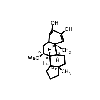 CO[C@H]1CC2C=C(O)C(O)=C[C@]2(C)[C@H]2CC[C@]3(C)CCC[C@H]3[C@H]12